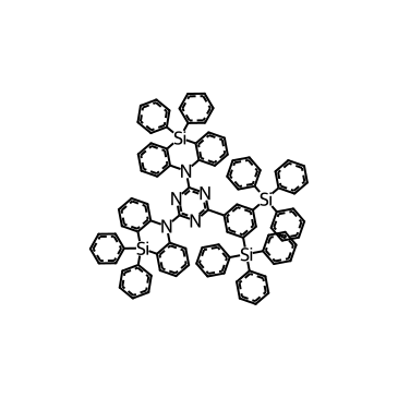 c1ccc([Si](c2ccccc2)(c2ccccc2)c2cc(-c3nc(N4c5ccccc5[Si](c5ccccc5)(c5ccccc5)c5ccccc54)nc(N4c5ccccc5[Si](c5ccccc5)(c5ccccc5)c5ccccc54)n3)cc([Si](c3ccccc3)(c3ccccc3)c3ccccc3)c2)cc1